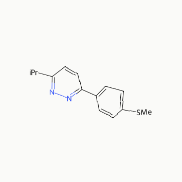 CSc1ccc(-c2ccc(C(C)C)nn2)cc1